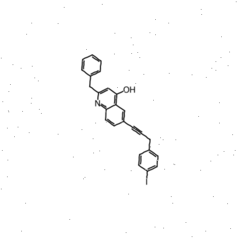 Oc1cc(Cc2ccccc2)nc2ccc(C#CCc3ccc(I)cc3)cc12